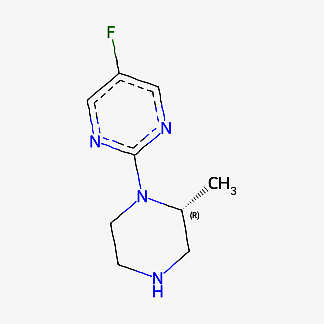 C[C@@H]1CNCCN1c1ncc(F)cn1